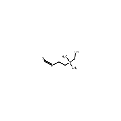 C[N+](C)(CC#N)CCN=C=S